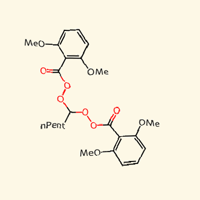 [CH2]CCCC[C](OOC(=O)c1c(OC)cccc1OC)OOC(=O)c1c(OC)cccc1OC